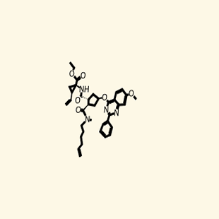 C=CCCCCN(C)C(=O)[C@@H]1C[C@H](Oc2nc(-c3ccccc3)nc3cc(OC)ccc23)C[C@H]1C(=O)N[C@]1(C(=O)OCC)C[C@@H]1C=C